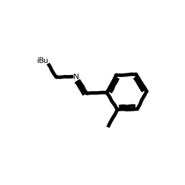 CCC(C)CN=Cc1ccccc1C